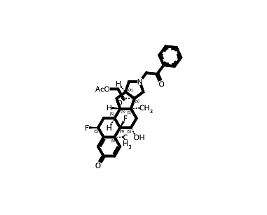 CC(=O)OCC(=O)[C@@]12CN(CC(=O)c3ccccc3)C[C@@H]1C[C@H]1[C@@H]3C[C@H](F)C4=CC(=O)C=C[C@]4(C)[C@@]3(F)[C@@H](O)C[C@@]12C